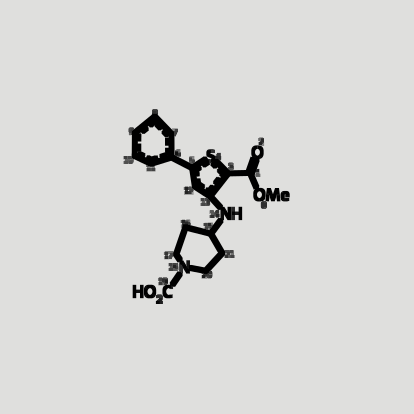 COC(=O)c1sc(-c2ccccc2)cc1NC1CCN(C(=O)O)CC1